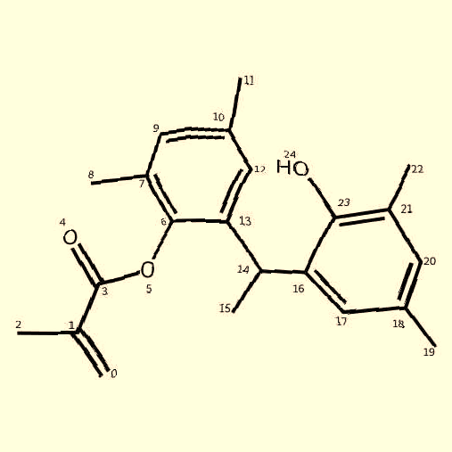 C=C(C)C(=O)Oc1c(C)cc(C)cc1C(C)c1cc(C)cc(C)c1O